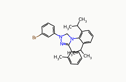 Cc1ccccc1C1=NN(c2cccc(Br)c2)CN1c1c(C(C)C)cccc1C(C)C